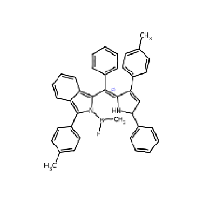 CB(F)n1c(/C(=C2\NC(c3ccccc3)C=C2c2ccc(C)cc2)c2ccccc2)c2ccccc2c1-c1ccc(C)cc1